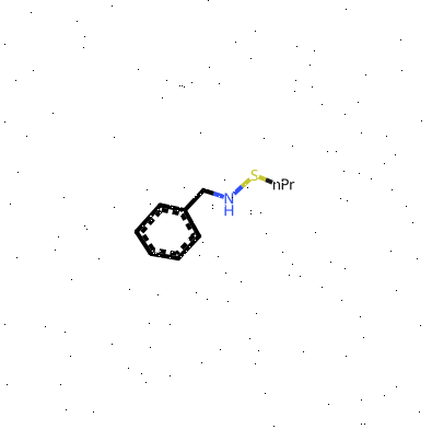 CCCSNCc1ccccc1